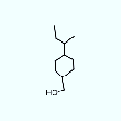 CCC(C)C1CCC(CO)CC1